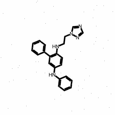 c1ccc(Nc2ccc(NCCn3cncn3)c(-c3ccccc3)c2)cc1